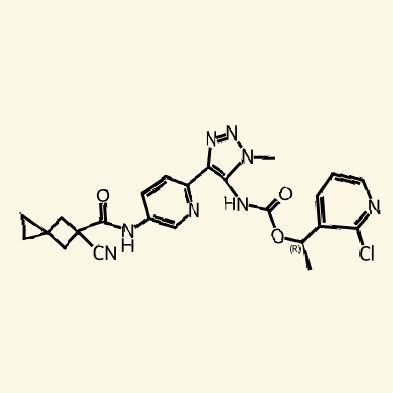 C[C@@H](OC(=O)Nc1c(-c2ccc(NC(=O)C3(C#N)CC4(CC4)C3)cn2)nnn1C)c1cccnc1Cl